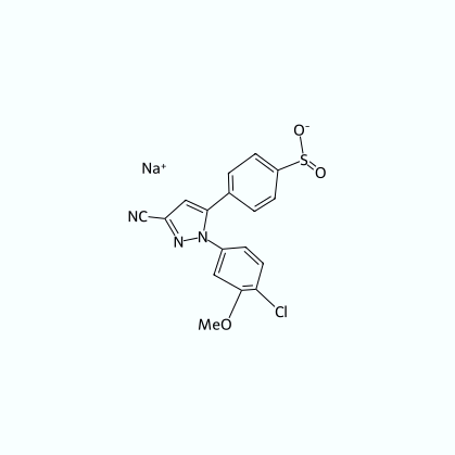 COc1cc(-n2nc(C#N)cc2-c2ccc(S(=O)[O-])cc2)ccc1Cl.[Na+]